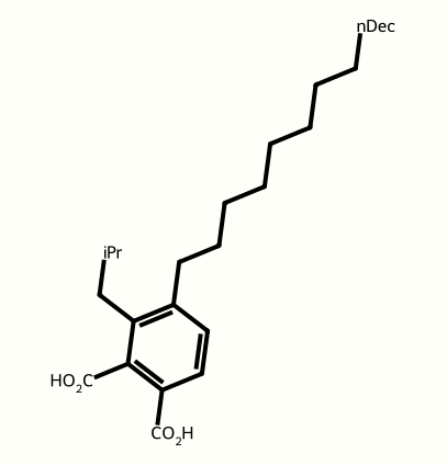 CCCCCCCCCCCCCCCCCCc1ccc(C(=O)O)c(C(=O)O)c1CC(C)C